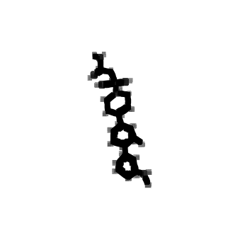 COC(=O)CS(=O)(=O)N1CC=C(c2ccc(-c3cccc(OC)c3)c(C)c2)CC1